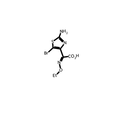 CCO/N=C(\C(=O)O)c1nc(N)sc1Br